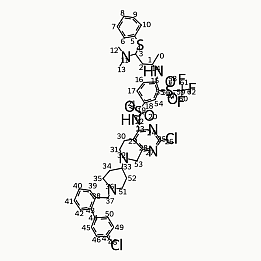 CC(CC(Sc1ccccc1)N(C)C)Nc1ccc(S(=O)(=O)Nc2nc(Cl)nc3c2CCN(C2CCN(Cc4ccccc4-c4ccc(Cl)cc4)CC2)C3)cc1S(=O)(=O)C(F)(F)F